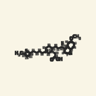 COc1ccc2nccc([C@@H](F)CC[C@@H]3CCN(CCCCc4ccc(C)s4)C[C@@H]3CC(=O)O)c2c1